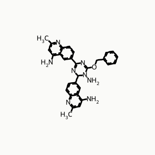 Cc1cc(N)c2cc(C3=NC(c4ccc5nc(C)cc(N)c5c4)N(N)C(OCc4ccccc4)=N3)ccc2n1